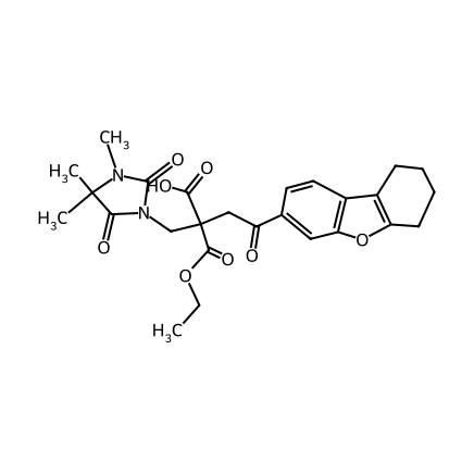 CCOC(=O)C(CC(=O)c1ccc2c3c(oc2c1)CCCC3)(CN1C(=O)N(C)C(C)(C)C1=O)C(=O)O